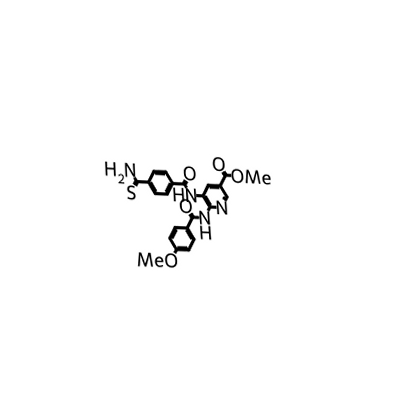 COC(=O)c1cnc(NC(=O)c2ccc(OC)cc2)c(NC(=O)c2ccc(C(N)=S)cc2)c1